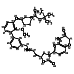 CO[C@H]1CN(C(=O)OC(C)(C)C)C[C@@H]1Oc1cccc(-c2cccc(CNCC[C@H]3CN(c4ccc5c(n4)NC(=O)CO5)C(=O)O3)c2)n1